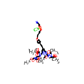 COC(=O)CN(CCN(CC(=O)OC)Cc1cc(C#Cc2ccc(OCCCCOP(Cl)OCCC#N)cc2)cc(CN(CCN(CC(C)=O)CC(C)=O)CC(C)=O)n1)CC(=O)OC